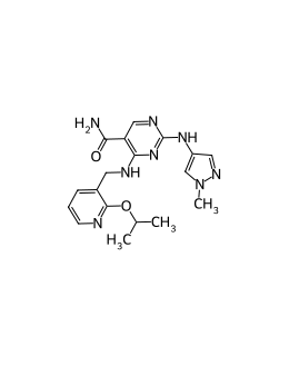 CC(C)Oc1ncccc1CNc1nc(Nc2cnn(C)c2)ncc1C(N)=O